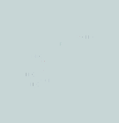 C=C(C)C(=C)OCC(COC=O)Cc1ccc(-c2ccc(OC=O)cc2F)cc1